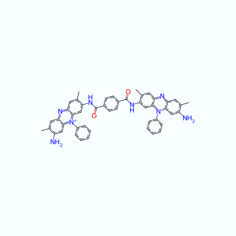 Cc1cc2nc3cc(C)c(NC(=O)c4ccc(C(=O)Nc5cc6c(cc5C)nc5cc(C)c(N)cc5[n+]6-c5ccccc5)cc4)cc3[n+](-c3ccccc3)c2cc1N